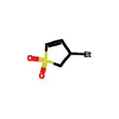 CCC1C=CS(=O)(=O)C1